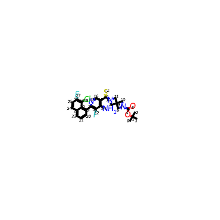 CC(C)(C)OC(=O)N1CC2(C1)CN(C(=S)c1cnc(-c3cccc4ccc(F)c(Cl)c34)c(F)c1N)C2